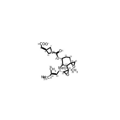 COC1[C@H](OC(=O)N2CC(=CC(=O)[O-])C2)CC[C@]2(CO2)[C@H]1[C@@]1(C)O[C@@H]1CC=C(C)C.[Na+]